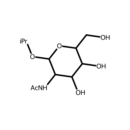 CC(=O)NC1C(OC(C)C)OC(CO)C(O)C1O